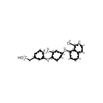 O=C(O)Cc1cccc(Oc2ccc(Oc3cccc4ccnc(Cl)c34)cc2C(F)(F)F)c1